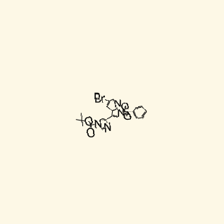 CC(C)(C)OC(=O)n1cnc(-c2cn(S(=O)(=O)c3ccccc3)c3ncc(Br)cc23)c1